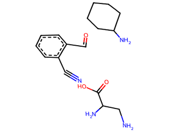 N#Cc1ccccc1C=O.NC1CCCCC1.NCC(N)C(=O)O